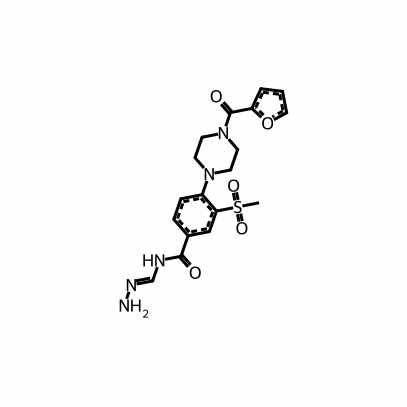 CS(=O)(=O)c1cc(C(=O)NC=NN)ccc1N1CCN(C(=O)c2ccco2)CC1